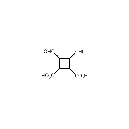 O=CC1C(C=O)C(C(=O)O)C1C(=O)O